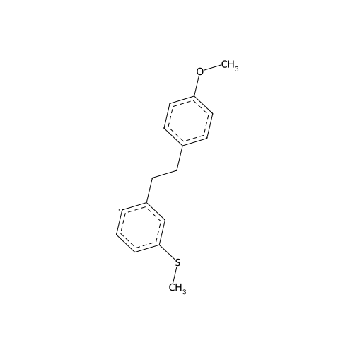 COc1ccc(CCc2[c]ccc(SC)c2)cc1